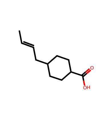 C/C=C/CC1CCC(C(=O)O)CC1